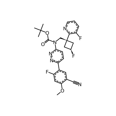 COc1cc(F)c(-c2ccc(N(C[C@]3(c4ncccc4F)C[C@H](F)C3)C(=O)OC(C)(C)C)nn2)cc1C#N